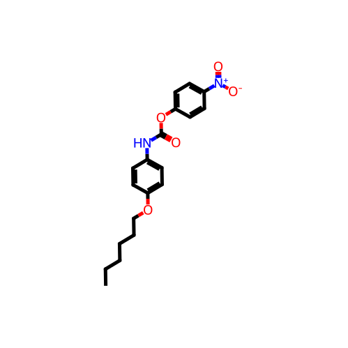 CCCCCCOc1ccc(NC(=O)Oc2ccc([N+](=O)[O-])cc2)cc1